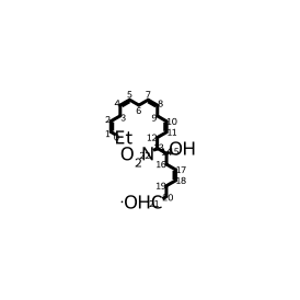 CC/C=C\C/C=C\C/C=C\C/C=C\CC(C(O)C/C=C\CC[C]=O)[N+](=O)[O-]